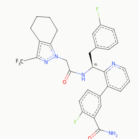 NC(=O)c1cc(-c2cccnc2[C@H](Cc2cccc(F)c2)NC(=O)Cn2nc(C(F)(F)F)c3c2CCCC3)ccc1F